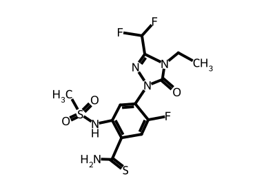 CCn1c(C(F)F)nn(-c2cc(NS(C)(=O)=O)c(C(N)=S)cc2F)c1=O